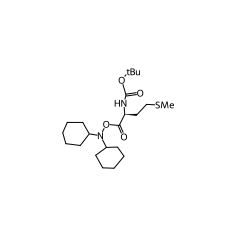 CSCC[C@H](NC(=O)OC(C)(C)C)C(=O)ON(C1CCCCC1)C1CCCCC1